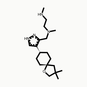 CNCCN(C)Cc1n[nH]cc1[C@H]1CC[C@@]2(CC1)CC(C)(C)CO2